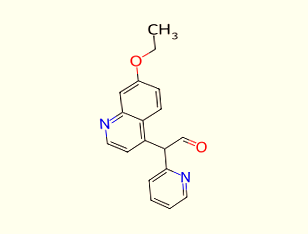 CCOc1ccc2c(C(C=O)c3ccccn3)ccnc2c1